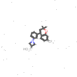 CC1(C)C=C(c2cccc(N3CC(C(=O)O)C3)c2)c2ccc(C(F)(F)F)cc2O1